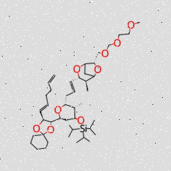 C=CCC/C=C/[C@@H]1OC2(CCCCC2)O[C@H]1[C@@H]1C[C@H](O[Si](C(C)C)(C(C)C)C(C)C)[C@@H](C)[C@@H](C/C=C/[C@@H]2OC3CC(O[C@H]3COCOCCOC)[C@H]2C)O1